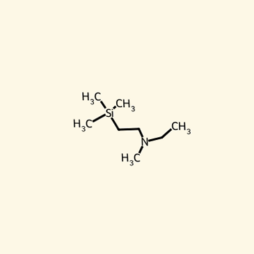 CCN(C)CC[Si](C)(C)C